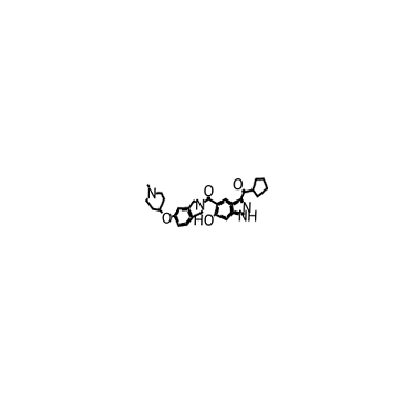 CN1CCC(Oc2ccc3c(c2)CN(C(=O)c2cc4c(C(=O)C5CCCC5)n[nH]c4cc2O)C3)CC1